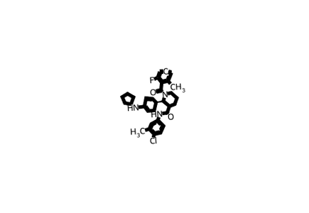 Cc1cc(NC(=O)C2CCCN(C(=O)c3c(C)cccc3F)C2[C@@H]2C=CC(NC3CCCC3)=CC2)ccc1Cl